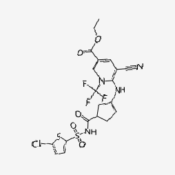 CCOC(=O)C1=CC(C#N)=C(NC2CCC(C(=O)NS(=O)(=O)c3ccc(Cl)s3)C2)N(C(F)(F)F)C1